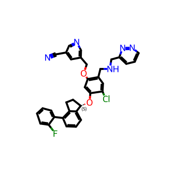 N#Cc1cncc(COc2cc(O[C@H]3CCc4c(-c5ccccc5F)cccc43)c(Cl)cc2CNCc2cccnn2)c1